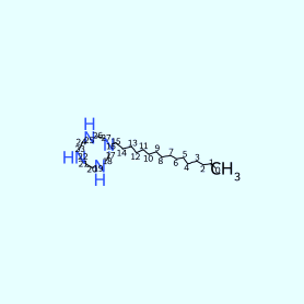 CCCCCCCCCCCCCCCCN1CCNCCNCCNCC1